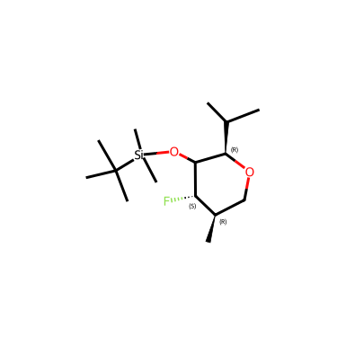 CC(C)[C@H]1OC[C@@H](C)[C@H](F)C1O[Si](C)(C)C(C)(C)C